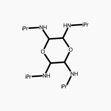 CC(C)NC1OC(NC(C)C)C(NC(C)C)OC1NC(C)C